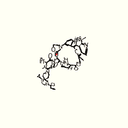 C=CC(=O)N1CCN(C2CC2)C2(CCN(C(=O)N(C)[C@H](C(=O)N[C@H]3C[C@H]4CN(CCO4)c4ccc5c(c4)c(c(-c4cccnc4[C@H](C)O)n5CC)CC(C)(C)COC(=O)[C@@H]4CCCN(N4)C3=O)C(C)C)CC2)C1